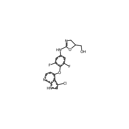 OCC1CN=C(Nc2cc(F)c(Oc3ccnc4[nH]cc(Cl)c34)c(F)c2)O1